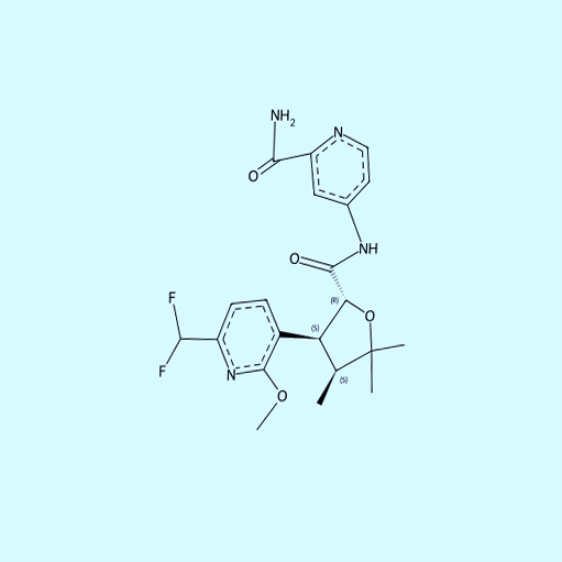 COc1nc(C(F)F)ccc1[C@H]1[C@H](C(=O)Nc2ccnc(C(N)=O)c2)OC(C)(C)[C@H]1C